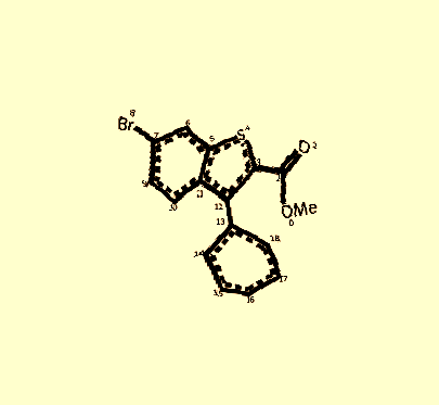 COC(=O)c1sc2cc(Br)ccc2c1-c1ccccc1